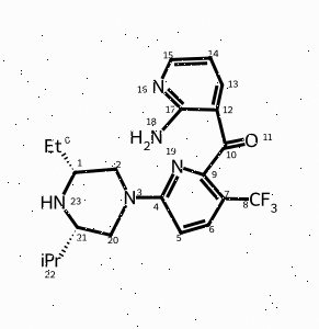 CC[C@@H]1CN(c2ccc(C(F)(F)F)c(C(=O)c3cccnc3N)n2)C[C@H](C(C)C)N1